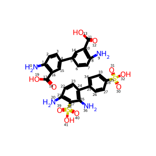 Nc1ccc(-c2ccc(N)c(C(=O)O)c2)cc1C(=O)O.Nc1ccc(-c2ccc(S(=O)(=O)O)cc2)c(N)c1S(=O)(=O)O